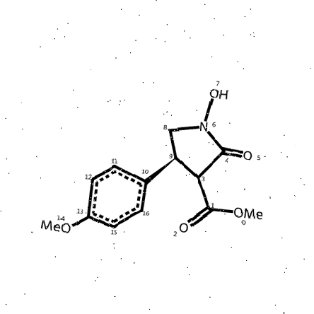 COC(=O)C1C(=O)N(O)C[C@@H]1c1ccc(OC)cc1